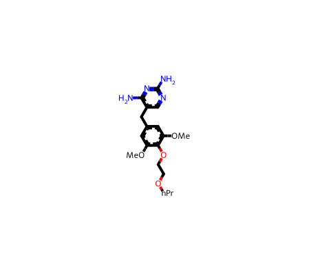 CCCOCCOc1c(OC)cc(Cc2cnc(N)nc2N)cc1OC